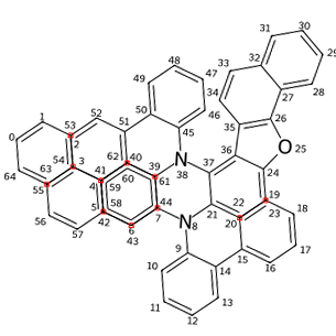 c1ccc(-c2ccc(N(c3ccccc3-c3ccccc3)c3ccc4oc5c6ccccc6ccc5c4c3N(c3ccccc3)c3ccccc3-c3ccc4ccccc4c3)cc2)cc1